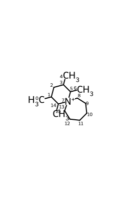 CC1CC(C)C(C)[N+]2(CCCCCC2)C1C